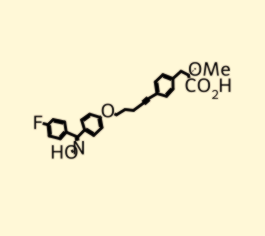 CO[C@@H](Cc1ccc(C#CCCCOc2ccc(C(=NO)c3ccc(F)cc3)cc2)cc1)C(=O)O